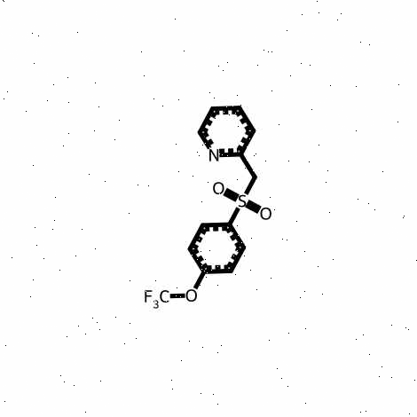 O=S(=O)(Cc1ccccn1)c1ccc(OC(F)(F)F)cc1